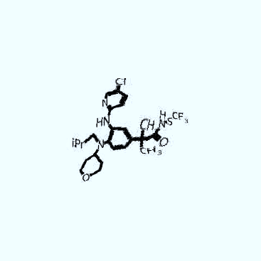 CC(C)CN(c1ccc(C(C)(C)C(=O)NSC(F)(F)F)cc1Nc1ccc(Cl)cn1)C1CCOCC1